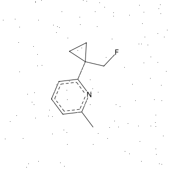 Cc1cccc(C2(CF)CC2)n1